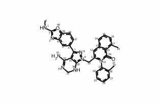 CNc1nc2cc(-c3nn(Cc4cc5cccc(C)c5c(=O)n4-c4ccccc4C)c4c3C(N)=NCN4)ccc2o1